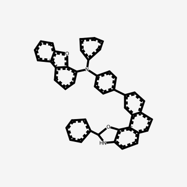 c1ccc(C2Nc3ccc4ccc5ccc(-c6ccc(N(c7ccccc7)c7cccc8c7oc7ccccc78)cc6)cc5c4c3O2)cc1